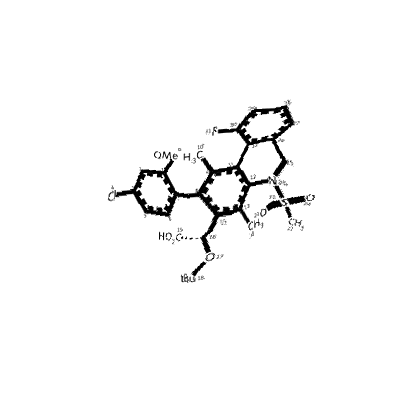 COc1cc(Cl)ccc1-c1c(C)c2c(c(C)c1[C@H](OC(C)(C)C)C(=O)O)N(S(C)(=O)=O)Cc1cccc(F)c1-2